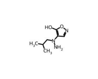 CC(C)CN(N)c1cnoc1O